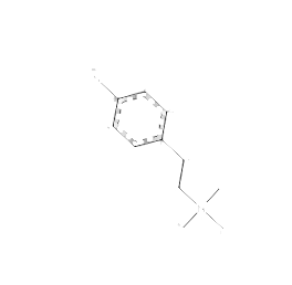 C[N+](C)(C)CCc1ccc(N)cc1